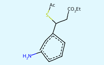 CCOC(=O)CC(SC(C)=O)c1cccc(N)c1